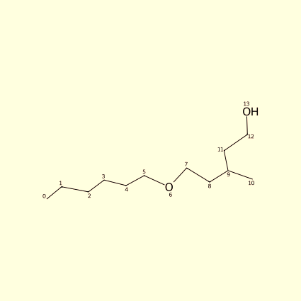 CCCCCCOCCC(C)CCO